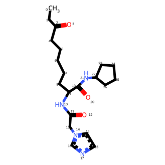 CCC(=O)CCCCCC(NC(=O)Cn1ccnc1)C(=O)NC1CCCC1